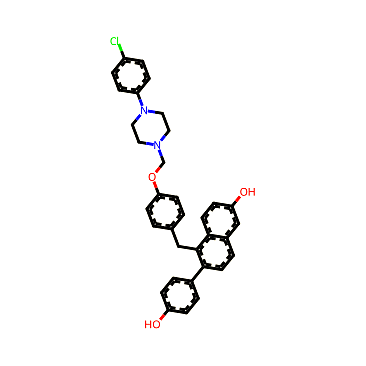 Oc1ccc(-c2ccc3cc(O)ccc3c2Cc2ccc(OCN3CCN(c4ccc(Cl)cc4)CC3)cc2)cc1